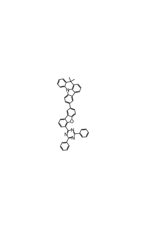 CC1(C)c2ccccc2-n2c3ccc(-c4ccc5oc6c(-c7nc(-c8ccccc8)nc(-c8ccccc8)n7)cccc6c5c4)cc3c3cccc1c32